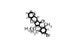 COC1=C(c2c(C)cc(Br)cc2C)C(=O)C(Cc2ncccc2O)C1